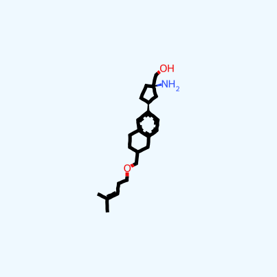 CC(C)=CCCOCC1CCc2cc([C@H]3CC[C@](N)(CO)C3)ccc2C1